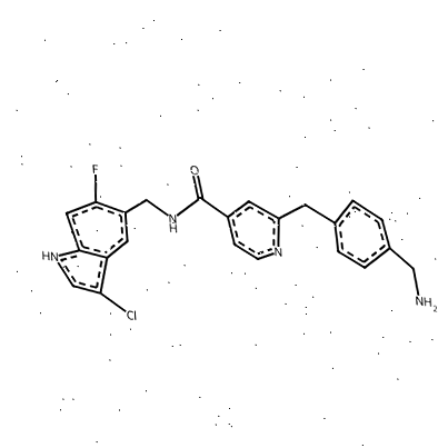 NCc1ccc(Cc2cc(C(=O)NCc3cc4c(Cl)c[nH]c4cc3F)ccn2)cc1